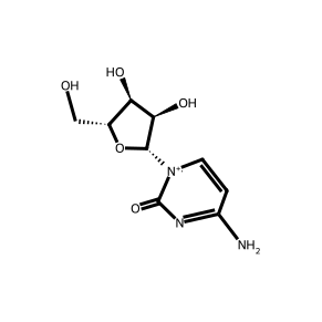 NC1=NC(=O)[N+]([C@@H]2O[C@H](CO)[C@@H](O)[C@H]2O)C=C1